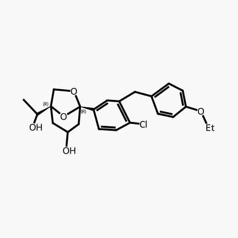 CCOc1ccc(Cc2cc([C@]34CC(O)C[C@](C(C)O)(CO3)O4)ccc2Cl)cc1